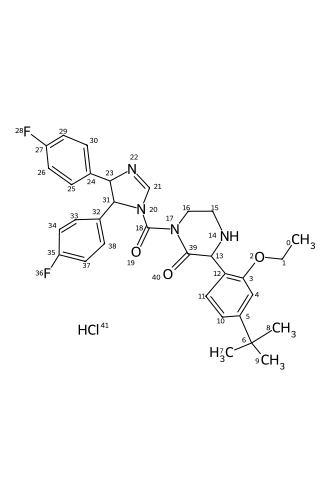 CCOc1cc(C(C)(C)C)ccc1C1NCCN(C(=O)N2C=NC(c3ccc(F)cc3)C2c2ccc(F)cc2)C1=O.Cl